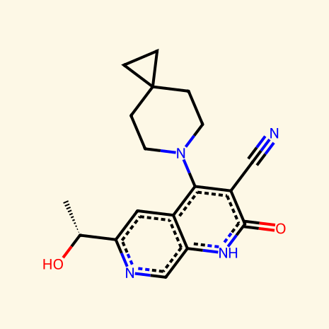 C[C@@H](O)c1cc2c(N3CCC4(CC3)CC4)c(C#N)c(=O)[nH]c2cn1